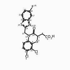 O=C(O)CC1Sc2c(ccc(Cl)c2Cl)N(Cc2nc3cc(F)ccc3s2)C1=O